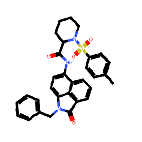 Cc1ccc(S(=O)(=O)N2CCCCC2C(=O)Nc2ccc3c4c(cccc24)C(=O)N3Cc2ccccc2)cc1